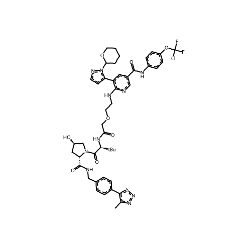 Cc1nnsc1-c1ccc(CNC(=O)[C@@H]2C[C@@H](O)CN2C(=O)[C@@H](NC(=O)COCCNc2ncc(C(=O)Nc3ccc(OC(F)(F)Cl)cc3)cc2-c2ccnn2C2CCCCO2)C(C)(C)C)cc1